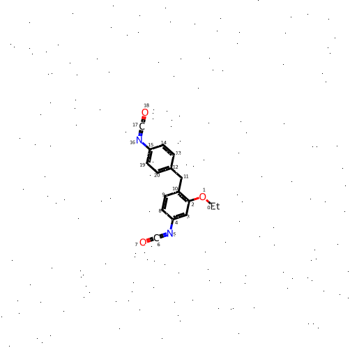 CCOc1cc(N=C=O)ccc1Cc1ccc(N=C=O)cc1